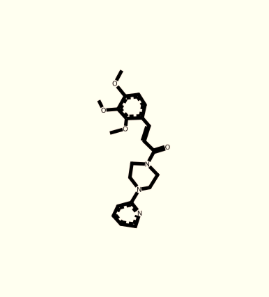 COc1ccc(C=CC(=O)N2CCN(c3ccccn3)CC2)c(OC)c1OC